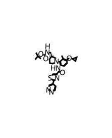 Cc1c(OC2CC2)ccc(NC(=O)c2csc(-c3ccnnc3)n2)c1N1CCC[C@@H](CNC(=O)OC(C)(C)C)C1